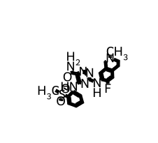 CN1CCc2cc(F)c(Nc3nnc(C(N)=O)c(Nc4ccccc4S(C)(=O)=O)n3)cc2C1